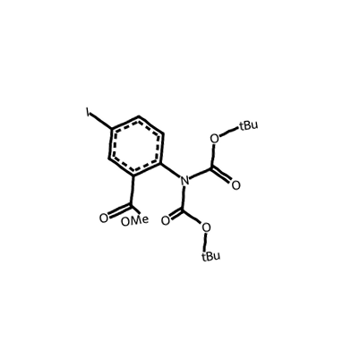 COC(=O)c1cc(I)ccc1N(C(=O)OC(C)(C)C)C(=O)OC(C)(C)C